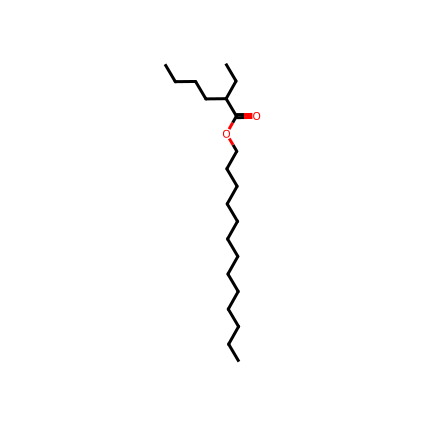 CCCCCCCCCCCCCOC(=O)C(CC)CCCC